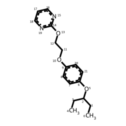 CCC(CC)Oc1ccc(OCCOc2ncccn2)cc1